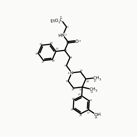 CCOC(=O)CNC(=O)C(CCN1CCC(C)(c2cccc(O)c2)C(C)C1)c1ccccc1